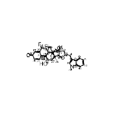 Cn1cc(CN2C[C@@H]3C[C@@]4(C)[C@@H]5C[C@H](F)C6=CC(=O)C=C[C@]6(C)[C@@]5(F)[C@@H](O)C[C@]4(C)[C@]3(C(=O)SCF)O2)c2ccccc21